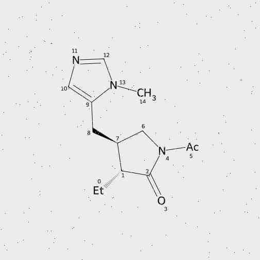 CC[C@H]1C(=O)N(C(C)=O)C[C@@H]1Cc1cncn1C